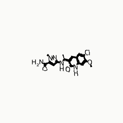 COc1cc2[nH]c(=O)c([C@H](C)Nc3cc(C(N)=O)n(C)n3)cc2cc1Cl